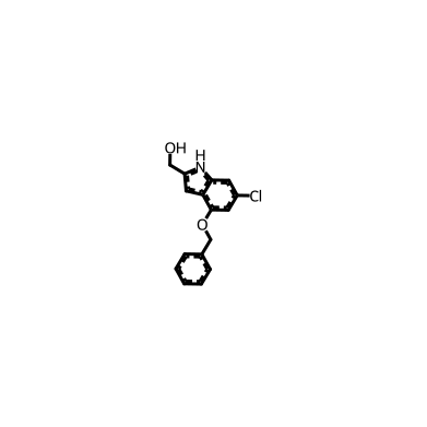 OCc1cc2c(OCc3ccccc3)cc(Cl)cc2[nH]1